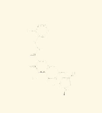 C[C@@H]1C[C@@H]2C[C@@H]1N1C(=O)c3c(O)c(=O)c(C(=O)NCc4ccc(F)cc4F)cn3CC1O2